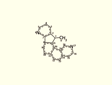 CC1c2cccnc2-c2ccc3ccc4ccncc4c3c21